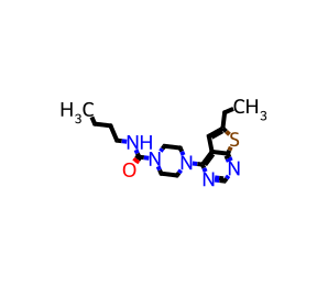 CCCCNC(=O)N1CCN(c2ncnc3sc(CC)cc23)CC1